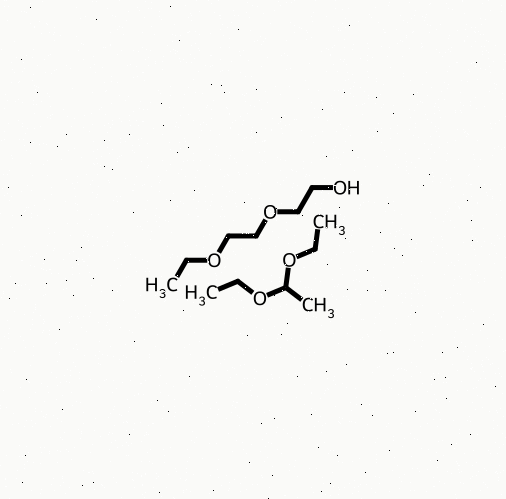 CCOC(C)OCC.CCOCCOCCO